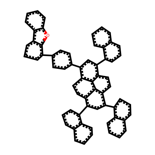 c1ccc2c(-c3cc(-c4ccc(-c5cccc6c5oc5ccccc56)cc4)c4ccc5c(-c6cccc7ccccc67)cc(-c6cccc7ccccc67)c6ccc3c4c56)cccc2c1